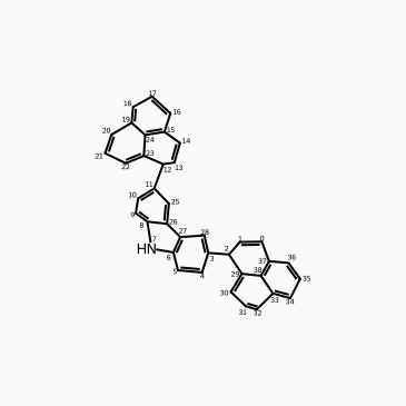 C1=CC(c2ccc3[nH]c4ccc(C5C=Cc6cccc7cccc5c67)cc4c3c2)c2cccc3cccc1c23